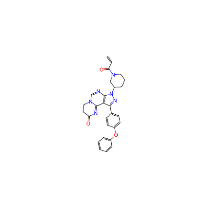 C=CC(=O)N1CCCC(n2nc(-c3ccc(Oc4ccccc4)cc3)c3c2N=CN2CCC(=O)N=C32)C1